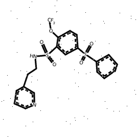 O=S(=O)(NCCc1cccnc1)c1cc(S(=O)(=O)c2ccccc2)ccc1OC(F)(F)F